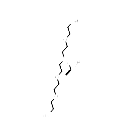 C=CC(=O)O.OCCOCCOCCOCCOCCO